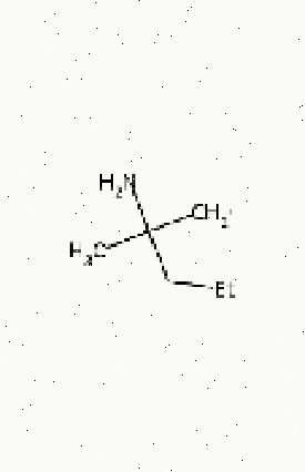 [CH2]C(C)(N)CCC